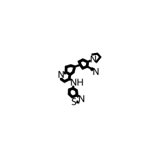 N#Cc1cc(-c2ccc3nccc(Nc4ccc5scnc5c4)c3c2)ccc1N1CCCC1